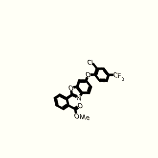 COC(=O)c1ccccc1-c1nc2ccc(Oc3ccc(C(F)(F)F)cc3Cl)cc2o1